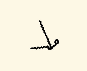 CCCCCCCCCCCCCCCCCCc1n(CCCCCCCCCCCC)cc[n+]1CCCc1ccccc1